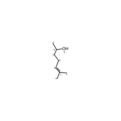 CC(C)=CCCC(C)O